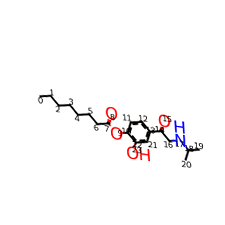 CCCCCCCC(=O)Oc1ccc(C(=O)CNC(C)C)cc1O